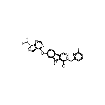 Cc1cccc(Cn2ncc3c4ccc(Oc5ncnc6c5cnn6PI)cc4n(C)c3c2=O)n1